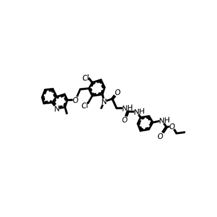 CCOC(=O)Nc1cccc(NC(=O)NCC(=O)N(C)c2ccc(Cl)c(COc3cc4ccccc4nc3C)c2Cl)c1